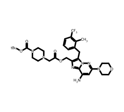 Cc1c(Cc2c(COC(=O)CN3CCN(C(=O)OC(C)(C)C)CC3)nc3c(N)cc(N4CCOCC4)nn23)cccc1C(F)(F)F